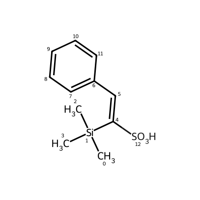 C[Si](C)(C)C(=Cc1ccccc1)S(=O)(=O)O